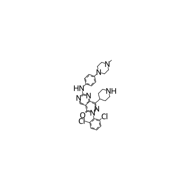 CN1CCN(c2ccc(Nc3ncc4c(=O)n(-c5c(Cl)cccc5Cl)nc(C5CCNCC5)c4n3)cc2)CC1